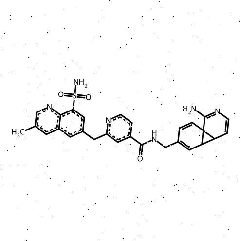 Cc1cnc2c(S(N)(=O)=O)cc(Cc3cc(C(=O)NCC4=CC5C6C=CN=C(N)C65C=C4)ccn3)cc2c1